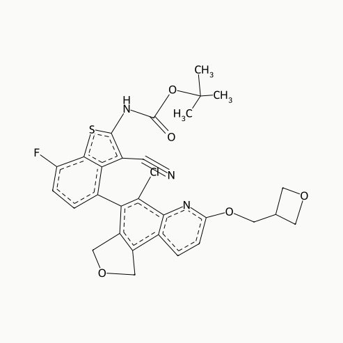 CC(C)(C)OC(=O)Nc1sc2c(F)ccc(-c3c4c(c5ccc(OCC6COC6)nc5c3Cl)COC4)c2c1C#N